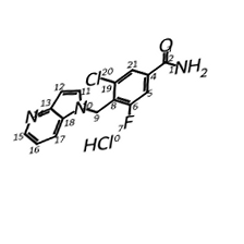 Cl.NC(=O)c1cc(F)c(Cn2ccc3ncccc32)c(Cl)c1